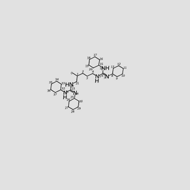 CC(CCCNC(=NC1CCCCC1)NC1CCCCC1)CNC(=NC1CCCCC1)NC1CCCCC1